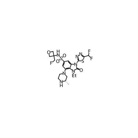 CCn1c(=O)n(-c2nnc(C(F)F)s2)c2cc(S(=O)(=O)NC3(CF)COC3)cc(N3CCN[C@@H](C)C3)c21